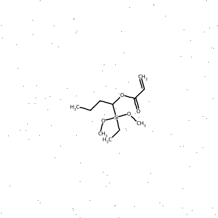 C=CC(=O)OC(CCC)[Si](CC)(OC)OC